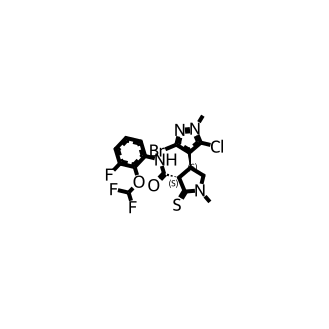 CN1C[C@H](c2c(Br)nn(C)c2Cl)[C@@H](C(=O)Nc2cccc(F)c2OC(F)F)C1=S